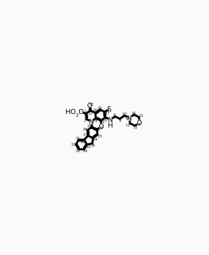 O=C(O)c1cn2c3c(c(NCCCN4CCOCC4)c(F)cc3c1=O)Oc1cc3c(cc1-2)-c1ccccc1C3